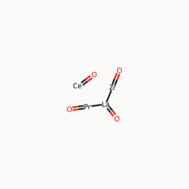 [O]=[Ce].[O]=[Zr][La](=[O])[Pr]=[O]